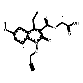 C#CCOn1c(=O)c(C(=O)NCC(=O)O)c(CC)c2cc(OC)ccc21